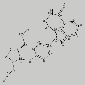 COC[C@@H]1CC[C@@H](COC)N1Cc1ccc(-c2nc3cccc4c3n2CCNC4=O)cc1